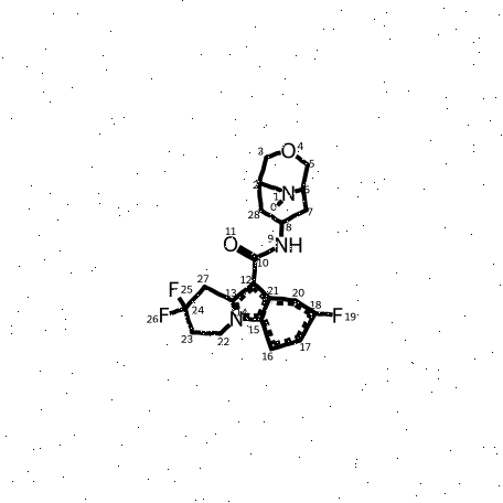 CN1C2COCC1CC(NC(=O)c1c3n(c4ccc(F)cc14)CCC(F)(F)C3)C2